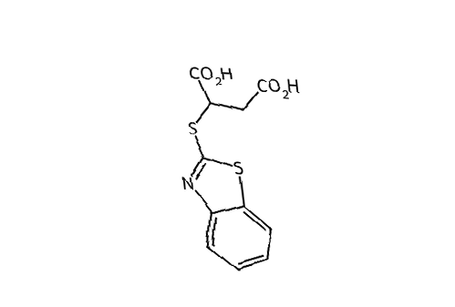 O=C(O)CC(Sc1nc2ccccc2s1)C(=O)O